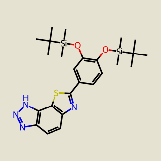 CC(C)(C)[Si](C)(C)Oc1ccc(-c2nc3ccc4nn[nH]c4c3s2)cc1O[Si](C)(C)C(C)(C)C